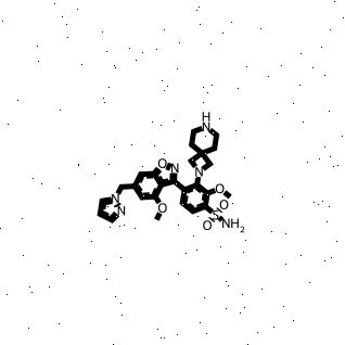 COc1c(S(N)(=O)=O)ccc(-c2noc3cc(Cn4cccn4)cc(OC)c23)c1N1CC2(CCNCC2)C1